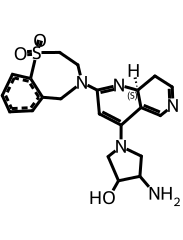 NC1CN(C2=CC(N3CCS(=O)(=O)c4ccccc4C3)=N[C@H]3CC=NC=C23)CC1O